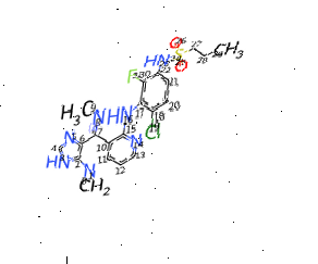 C=Nc1[nH]cnc1/C(=N\C)c1cccnc1Nc1c(Cl)ccc(NS(=O)(=O)CCC)c1F